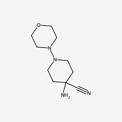 N#CC1(N)CCN(N2CCOCC2)CC1